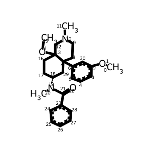 COc1cccc(C23CCN(C)CC2(OC)CC[C@@H](N(C)C(=O)c2ccccc2)C3)c1